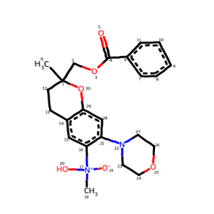 CC1(COC(=O)c2ccccc2)CCc2cc([N+](C)([O-])O)c(N3CCOCC3)cc2O1